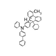 Cc1ccccc1-c1ccccc1C(C)(C1=CC=CCC1)c1ccc(N(c2ccccc2)c2ccc(-c3ccccc3)cc2)cc1